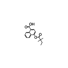 CCC(C)(C)C(=O)Oc1ccc(C(=O)O)c2ccccc12